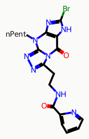 CCCCCn1c2nc(Br)[nH]c2c(=O)n2c(CCNC(=O)c3ccccn3)nnc12